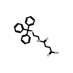 O=C(O)CCC(=O)NCCSC(c1ccccc1)(c1ccccc1)c1ccccc1